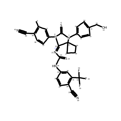 Cc1cc(N2C(=S)N(c3ccc(CO)cc3)C3(CCC3)/C2=N\C(=S)Nc2ccc(C#N)c(C(F)(F)F)c2)ccc1C#N